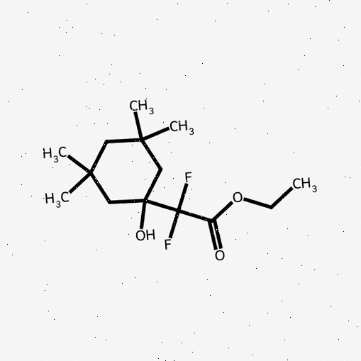 CCOC(=O)C(F)(F)C1(O)CC(C)(C)CC(C)(C)C1